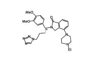 CCN1CCN(c2cccc3c2CN([C@H](CCCn2cnnn2)c2ccc(OC)c(OC)c2)C3=O)CC1